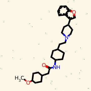 COC1CCC(CC(=O)NC2CCC(CCN3CCC(c4coc5ccccc45)CC3)CC2)CC1